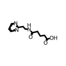 O=C(O)CCCC(=O)NCCc1ncccn1